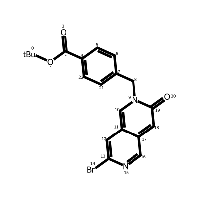 CC(C)(C)OC(=O)c1ccc(Cn2cc3cc(Br)ncc3cc2=O)cc1